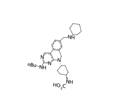 CCCCNc1ncc2c(n1)N([C@H]1CC[C@H](NC(=O)O)CC1)Cc1cc(CNC3CCCCC3)ccc1-2